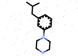 CC(C)Cc1cccc(N2CC[N]CC2)c1